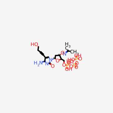 CC(C)=NO[C@@H]1C[C@H](n2cc(C#CCCO)c(N)nc2=O)OC1COP(=O)(O)OP(=O)(O)OP(=O)(O)O